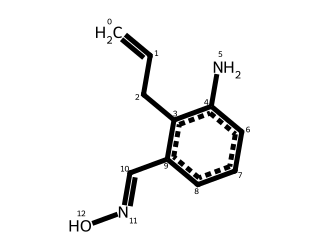 C=CCc1c(N)cccc1C=NO